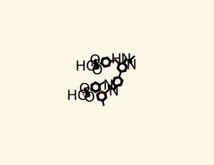 Cc1cccc(-c2nc3ccc(-c4cc(Cc5ccc(S(=O)(=O)O)cc5)c5[nH]c(C)nc5c4)cc3n2Cc2ccc(S(=O)(=O)O)cc2)c1